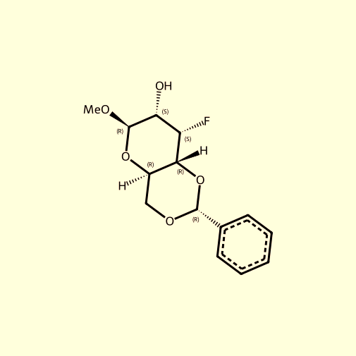 CO[C@@H]1O[C@@H]2CO[C@@H](c3ccccc3)O[C@H]2[C@@H](F)[C@H]1O